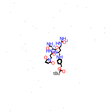 CC(C)(C)C(=O)OCc1ccc(NC[C@H](CCCNC(N)=O)NC(=O)[C@H](CC(N)=O)NC(=O)CCN2C(=O)C=CC2=O)cc1